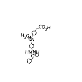 Cn1cc(-c2ccc(C(=N)NC(=O)OCc3ccccc3)cc2)nc1-c1ccc(CCC(=O)O)cc1